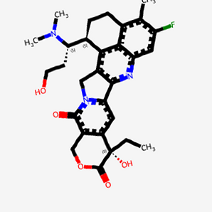 CC[C@@]1(O)C(=O)OCc2c1cc1n(c2=O)Cc2c-1nc1cc(F)c(C)c3c1c2[C@@H]([C@H](CCO)N(C)C)CC3